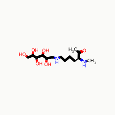 CN[C@@H](CCCCNCC(O)C(O)C(O)C(O)CO)C(C)=O